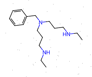 CCNCCCN(CCCNCC)Cc1ccccc1